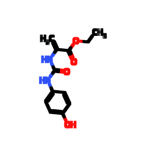 C=C(NC(=O)Nc1ccc(O)cc1)C(=O)OCC